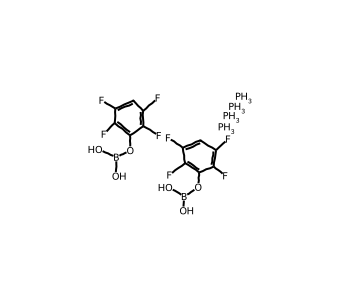 OB(O)Oc1c(F)c(F)cc(F)c1F.OB(O)Oc1c(F)c(F)cc(F)c1F.P.P.P.P